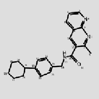 Cc1nc2ncccc2cc1C(=O)NCc1ccc(C2CCCCC2)cc1